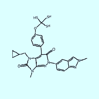 Cn1cc2cc(-n3nc4c(c(-c5ccc(OC(S)(S)S)cc5)c3=O)n(CC3CC3)c(=O)n4C)ccc2n1